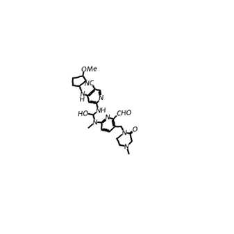 COC1CCC(Nc2cc(NC(O)N(C)c3ccc(CN4CCN(C)CC4=O)c(C=O)n3)ncc2C#N)C1